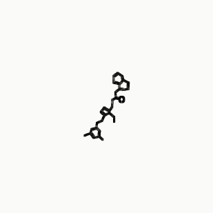 CCC1C(CCC(=O)Cc2cccc3ccccc23)=CC=C1CCc1cc(C)cc(C)c1